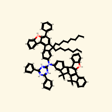 CCCCCCCCC1(CCCCCCC)c2cc(N(c3ccc4c(c3)C(C)(C)c3c5c(c6oc7ccccc7c6c3-4)-c3ccccc3C5(C)C)c3nc(-c4ccccc4)nc(-c4ccccc4)n3)ccc2-c2c1cc(-c1ccccc1)c1oc3ccccc3c21